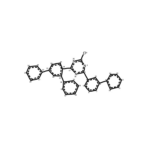 Clc1nc(-c2cccc(-c3ccccc3)c2)nc(-c2ccc(-c3ccccc3)cc2-c2ccccc2)n1